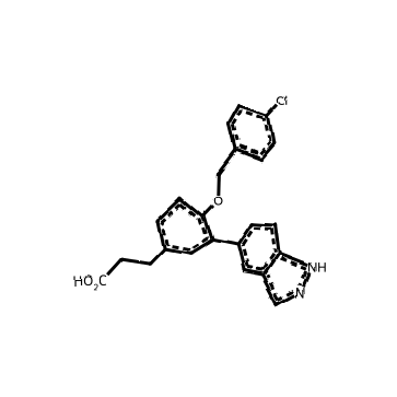 O=C(O)CCc1ccc(OCc2ccc(Cl)cc2)c(-c2ccc3[nH]ncc3c2)c1